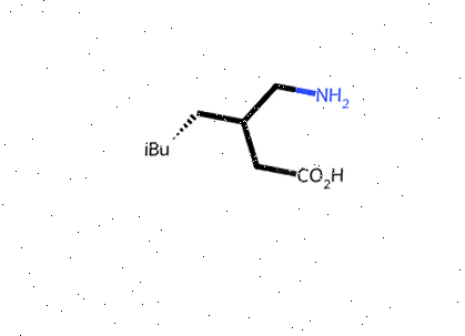 CC[C@@H](C)CC(CN)CC(=O)O